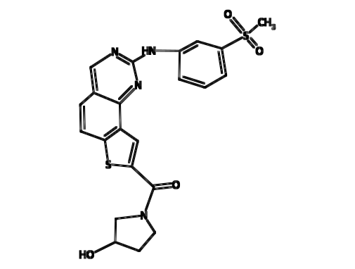 CS(=O)(=O)c1cccc(Nc2ncc3ccc4sc(C(=O)N5CCC(O)C5)cc4c3n2)c1